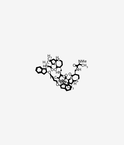 CN[C@@H](C)C(=O)NC[C@H]1CCS[C@H]2CC(C)(C)[C@@H](C(=O)N[C@H]3c4ccccc4C[C@H]3OCCCCO[C@@H]3Cc4ccccc4[C@@H]3NC(=O)[C@H]3N4C(=O)[C@@H](CNC(=O)[C@H](C)NC)CCS[C@H]4CC3(C)C)N2C1=O